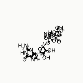 NOP(=O)(OC[C@H]1O[C@@H](n2cnc3c(=O)[nH]c(N)nc32)C(O)C1O)OP(=O)(O)OP(=O)(O)O